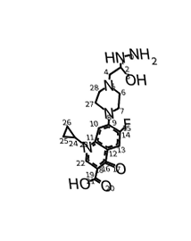 NNC(O)CN1CCN(c2cc3c(cc2F)c(=O)c(C(=O)O)cn3C2CC2)CC1